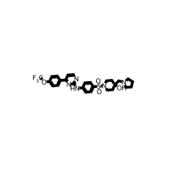 O=S(=O)(c1ccc(Nc2nccc(-c3ccc(OC(F)(F)F)cc3)n2)cc1)N1CCC(O)(CN2CCCC2)CC1